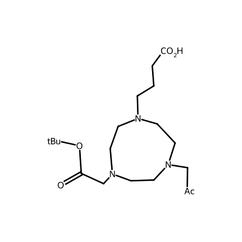 CC(=O)CN1CCN(CCCC(=O)O)CCN(CC(=O)OC(C)(C)C)CC1